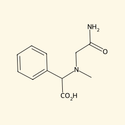 CN(CC(N)=O)C(C(=O)O)c1ccccc1